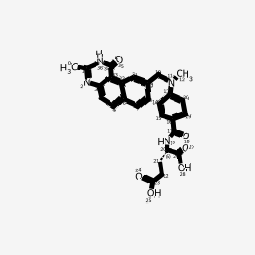 Cc1nc2ccc3ccc(CN(C)c4ccc(C(=O)N[C@@H](CCC(=O)O)C(=O)O)cc4)cc3c2c(=O)[nH]1